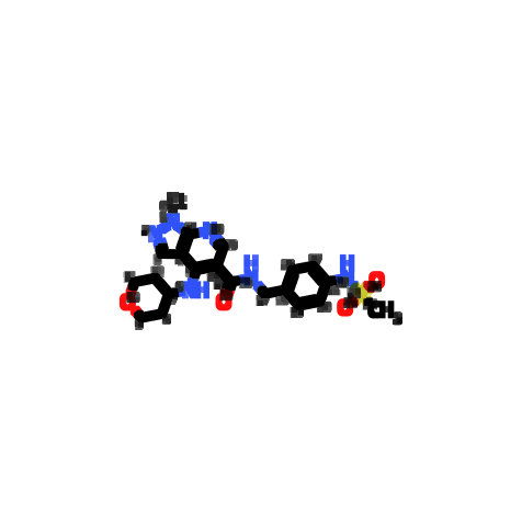 CCn1ncc2c(NC3CCOCC3)c(C(=O)NCc3ccc(NS(C)(=O)=O)cc3)cnc21